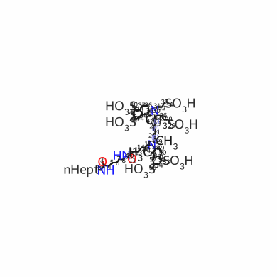 CCCCCCCNC(=O)CCCCCNC(=O)CCCCCN(/C(C)=C/C=C/C=C/C(CCCS(=O)(=O)O)N(CCCS(=O)(=O)O)c1ccc2c(S(=O)(=O)O)cc(S(=O)(=O)O)cc2c1C)c1ccc2c(S(=O)(=O)O)cc(S(=O)(=O)O)cc2c1C